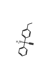 C#CC(N)(c1ccccc1)c1ccc(CC)cc1